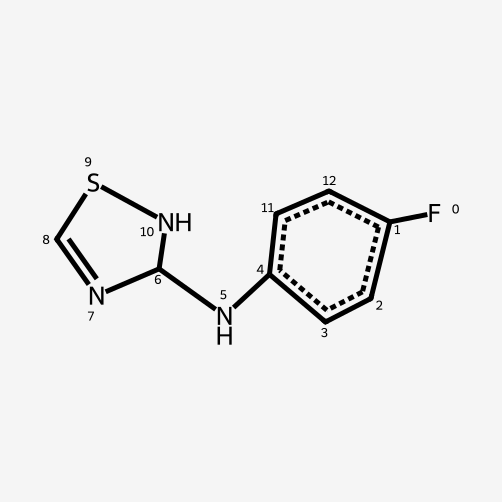 Fc1ccc(NC2N=CSN2)cc1